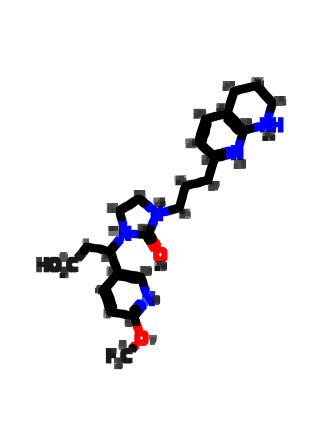 O=C(O)CC(c1ccc(OC(F)(F)F)nc1)N1CCN(CCCc2ccc3c(n2)NCCC3)C1=O